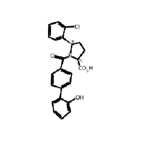 O=C(O)[C@@H]1CC[C@H](c2ccccc2Cl)N1C(=O)c1ccc(-c2ccccc2O)cc1